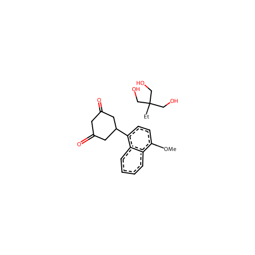 CCC(CO)(CO)CO.COc1ccc(C2CC(=O)CC(=O)C2)c2ccccc12